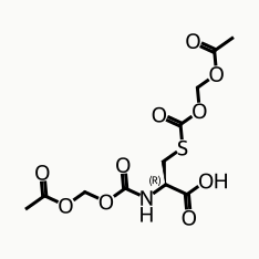 CC(=O)OCOC(=O)N[C@@H](CSC(=O)OCOC(C)=O)C(=O)O